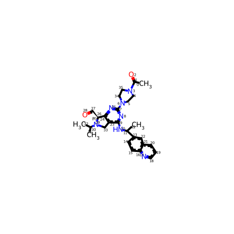 CC(=O)N1CCN(c2nc(NC(C)c3ccc4ncccc4c3)c3c(n2)[C@H](C=O)N(C(C)C)C3)CC1